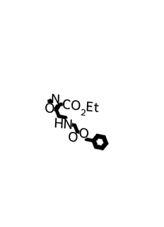 CCOC(=O)c1ncoc1CCNCC(=O)OCc1ccccc1